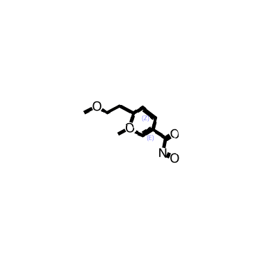 C/C=C(\C=C/C(CCOC)OC)C(=O)N=O